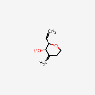 C=C[C@H]1OCCC(=C)[C@@H]1O